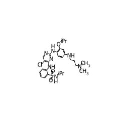 CC(C)NS(=O)(=O)c1ccccc1Nc1nc(Nc2ccc(NCCCN(C)C)cc2OC(C)C)ncc1Cl